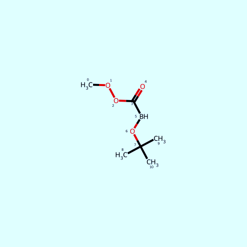 COOC(=O)BOC(C)(C)C